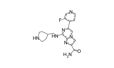 NC(=O)c1cn2cc(-c3ccncc3F)nc(NCC3CCNCC3)c2n1